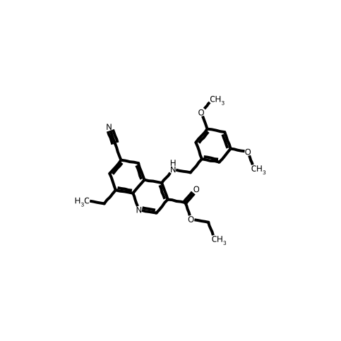 CCOC(=O)c1cnc2c(CC)cc(C#N)cc2c1NCc1cc(OC)cc(OC)c1